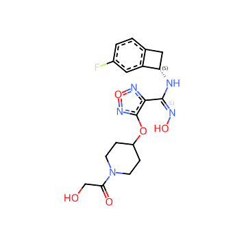 O=C(CO)N1CCC(Oc2nonc2/C(=N\O)N[C@H]2Cc3ccc(F)cc32)CC1